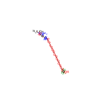 CCCN(OCC)C(=O)C1=Cc2ccc(-c3cnc(CNC(=O)CCOCCOCCOCCOCCOCCOCCOCCOCCOCCOCCOCCOCCOCCC(=O)Oc4c(F)c(F)c(SO)c(F)c4F)nc3)cc2N=C(N)C1